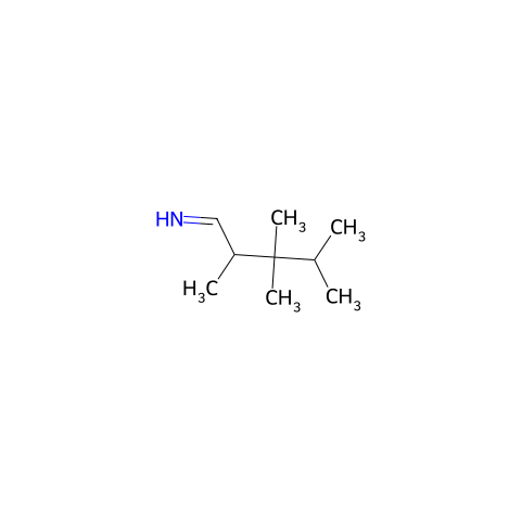 CC(C)C(C)(C)C(C)C=N